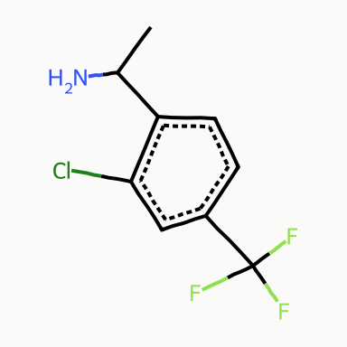 CC(N)c1ccc(C(F)(F)F)cc1Cl